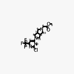 COC(=O)CN1CC2CN(c3cc(C(F)(F)F)nc(Cl)n3)CC2C1